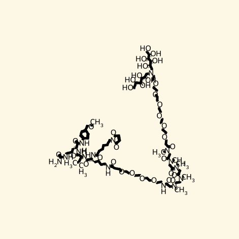 COCc1ccc(NC(=O)[C@H](CCCNC(N)=O)NC(=O)[C@@H](NC(=O)[C@H](CCCCNC(=O)CCOCCOCCOCCOCCNC(=O)CN(C)C(=O)CN(C)C(=O)CN(C)C(=O)CN(C)C(=O)CN(C)C(=O)CCOCCOCCOCCOCCOCCOCCN(C[C@H](O)[C@@H](O)[C@H](O)[C@H](O)CO)C[C@H](O)[C@@H](O)[C@H](O)[C@H](O)CO)NC(=O)CCCCCN2C(=O)C=CC2=O)C(C)C)cc1